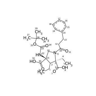 CCC1[C@](CC)(C(=O)O)N(C(=O)CCc2ccccc2)C[C@@]1(NC(=O)OC(C)(C)C)C(=O)O